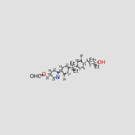 CCC(O)(/C=C/c1ccc(C(CC)(CC)c2ccc(-c3ccc(COC=O)cn3)c(C)c2)cc1C)CC